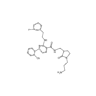 N#Cc1ccccc1-c1ccc(C(=O)NCC2CCN(CCCN)C2=O)c(NCCc2cccc(F)c2)n1